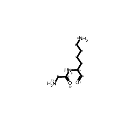 NCCCCC([C]=O)NC(=O)CN